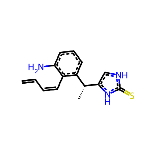 C=C/C=C\c1c(N)cccc1[C@@H](C)c1c[nH]c(=S)[nH]1